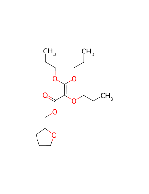 CCCOC(OCCC)=C(OCCC)C(=O)OCC1CCCO1